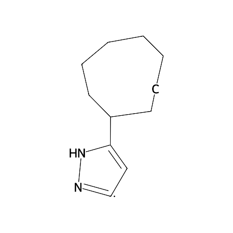 [c]1cc(C2CCCCCCC2)[nH]n1